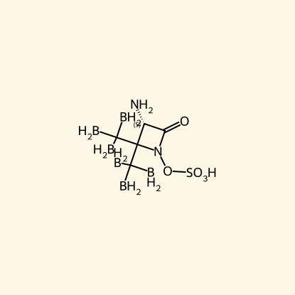 BC(B)(B)C1(C(B)(B)B)[C@H](N)C(=O)N1OS(=O)(=O)O